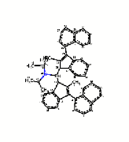 CC1=C(c2cccc3ccccc23)c2ccccc2C1B(C1C(C)=C(c2cccc3ccccc23)c2ccccc21)N(C(C)C)C(C)C